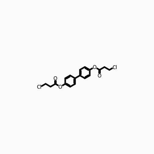 O=C(CCCl)Oc1ccc(-c2ccc(OC(=O)CCCl)cc2)cc1